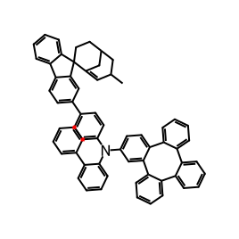 CC1C=C2CC(CCC23c2ccccc2-c2ccc(-c4ccc(N(c5ccc6c(c5)-c5ccccc5-c5ccccc5-c5ccccc5-6)c5ccccc5-c5ccccc5)cc4)cc23)C1